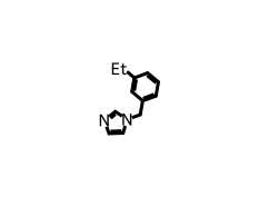 CCc1cccc(Cn2ccnc2)c1